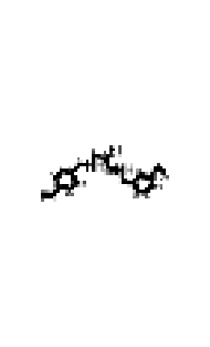 C=Cc1ccc(CNCC(CC)CNCc2cccc(C=C)c2)cc1